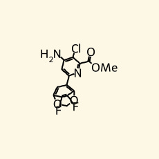 COC(=O)c1nc(-c2cc3c(F)c(F)c2OCO3)cc(N)c1Cl